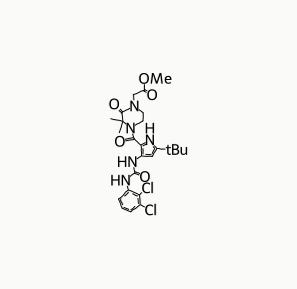 COC(=O)CN1CCN(C(=O)c2[nH]c(C(C)(C)C)cc2NC(=O)Nc2cccc(Cl)c2Cl)C(C)(C)C1=O